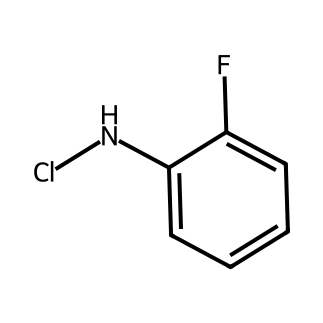 Fc1ccccc1NCl